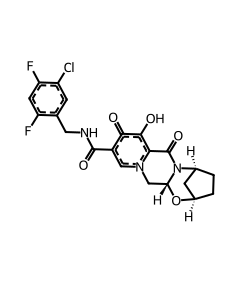 O=C(NCc1cc(Cl)c(F)cc1F)c1cn2c(c(O)c1=O)C(=O)N1[C@H]3CC[C@H](C3)O[C@@H]1C2